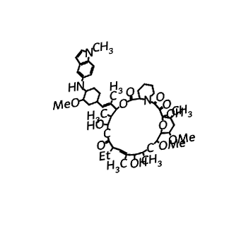 CCC1/C=C(\C)C(O)C(C)CC(OC)C2OC(O)(C(=O)C(=O)N3CCCCC3C(=O)OC(C(C)=CC3CCC(Nc4ccc5c(ccn5C)c4)C(OC)C3)C(C)C(O)CC1=O)C(C)CC2OC